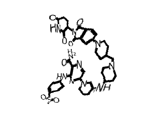 CS(=O)(=O)c1ccc(Nc2nc(N3CCC[C@@H](NC4CCN(CC5CCN(c6ccc7c(c6)C(=O)N(C6CCC(=O)NC6=O)C7=O)CC5)CC4)C3)cnc2C(N)=O)cc1